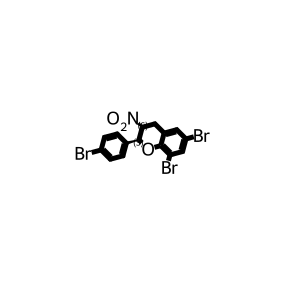 O=[N+]([O-])[C@H]1Cc2cc(Br)cc(Br)c2O[C@H]1c1ccc(Br)cc1